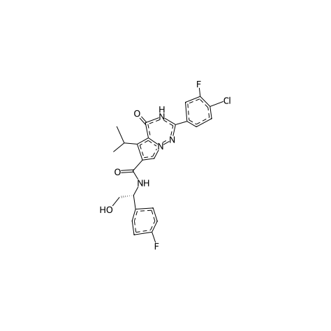 CC(C)c1c(C(=O)N[C@@H](CO)c2ccc(F)cc2)cn2nc(-c3ccc(Cl)c(F)c3)[nH]c(=O)c12